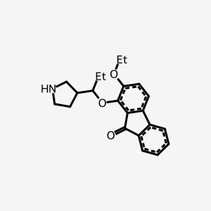 CCOc1ccc2c(c1OC(CC)C1CCNC1)C(=O)c1ccccc1-2